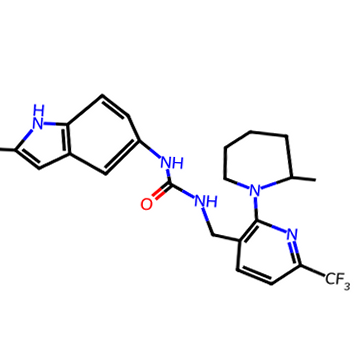 Cc1cc2cc(NC(=O)NCc3ccc(C(F)(F)F)nc3N3CCCCC3C)ccc2[nH]1